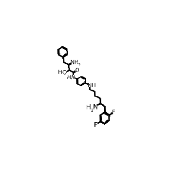 NC(CCCCNc1ccc(NC(=O)C(O)C(N)Cc2ccccc2)cc1)Cc1cc(F)ccc1F